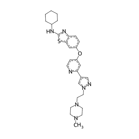 CN1CCN(CCn2cc(-c3cc(Oc4ccc5nc(NC6CCCCC6)sc5c4)ccn3)cn2)CC1